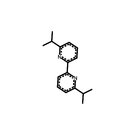 CC(C)c1cccc(-c2cccc(C(C)C)n2)n1